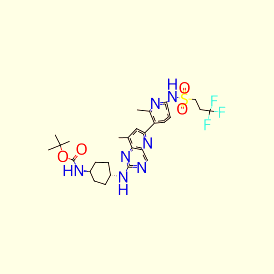 Cc1nc(NS(=O)(=O)CCC(F)(F)F)ccc1-c1cc(C)c2nc(N[C@H]3CC[C@H](NC(=O)OC(C)(C)C)CC3)ncc2n1